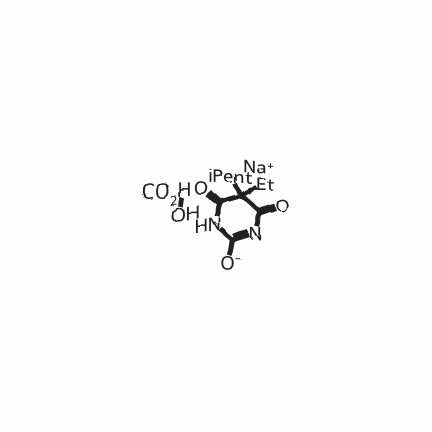 CCCC(C)C1(CC)C(=O)N=C([O-])NC1=O.O=C(O)O.[Na+]